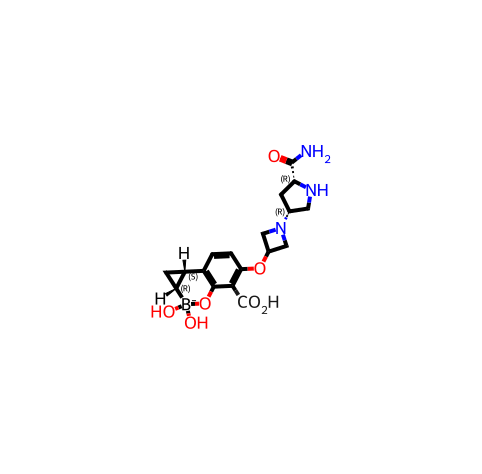 NC(=O)[C@H]1C[C@@H](N2CC(Oc3ccc4c(c3C(=O)O)O[B-](O)(O)[C@@H]3C[C@H]43)C2)CN1